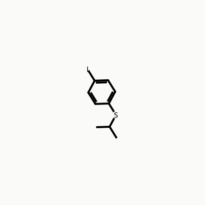 CC(C)Sc1ccc(I)cc1